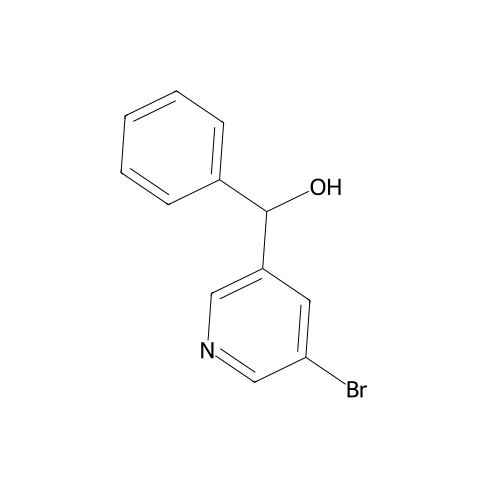 OC(c1ccccc1)c1cncc(Br)c1